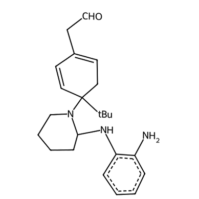 CC(C)(C)C1(N2CCCCC2Nc2ccccc2N)C=CC(CC=O)=CC1